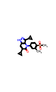 Cc1cc(-n2c(=O)c(C3CC3)cc3[nH]nc(C4CC4)c32)ccc1S(C)(=O)=O